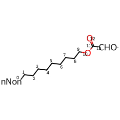 CCCCCCCCCCCCCCCCCCOC(=O)[C]=O